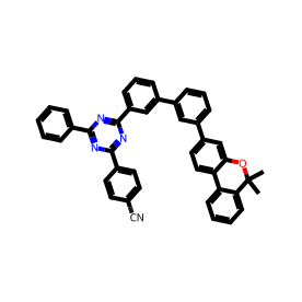 CC1(C)Oc2cc(-c3cccc(-c4cccc(-c5nc(-c6ccccc6)nc(-c6ccc(C#N)cc6)n5)c4)c3)ccc2-c2ccccc21